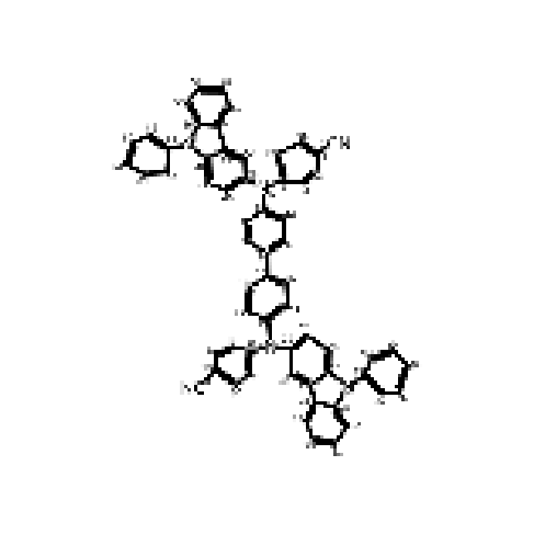 N#Cc1ccc(N(c2ccc(-c3ccc(N(c4ccc(C#N)cc4)c4ccc5c(c4)c4ccccc4n5-c4ccccc4)cc3)cc2)c2ccc3c(c2)c2ccccc2n3C2=CC=CCC2)cc1